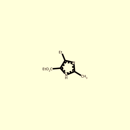 CCOC(=O)c1[nH]c(C)nc1CC